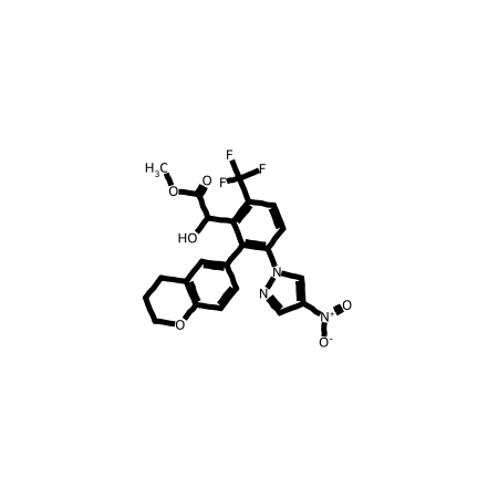 COC(=O)C(O)c1c(C(F)(F)F)ccc(-n2cc([N+](=O)[O-])cn2)c1-c1ccc2c(c1)CCCO2